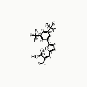 CCC(=Cc1ccc(-c2cc(C(F)(F)F)cc(C(F)(F)F)c2)o1)C(=O)O